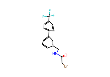 O=C(CBr)NCc1cccc(-c2ccc(C(F)(F)F)cc2)c1